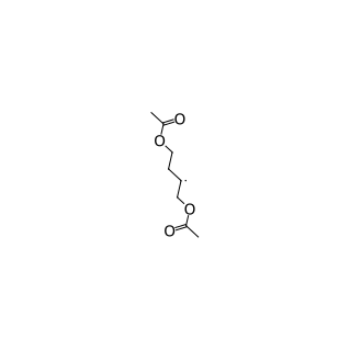 CC(=O)OC[CH]CCOC(C)=O